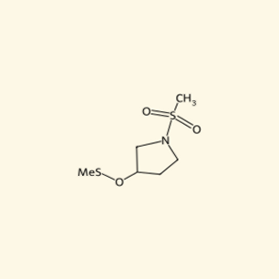 CSOC1CCN(S(C)(=O)=O)C1